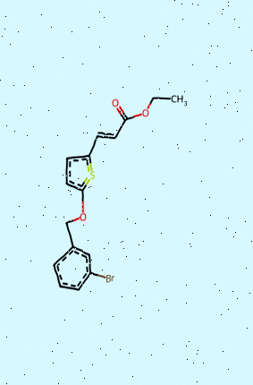 CCOC(=O)C=Cc1ccc(OCc2cccc(Br)c2)s1